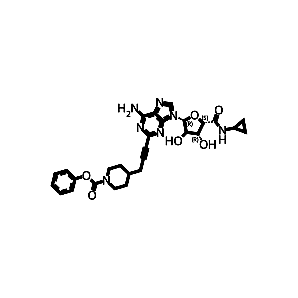 Nc1nc(C#CCC2CCN(C(=O)Oc3ccccc3)CC2)nc2c1ncn2[C@@H]1O[C@H](C(=O)NC2CC2)[C@H](O)C1O